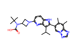 Cc1c(-c2[nH]c3ccc(N4CC(N(C(=O)O)C(C)(C)C)C4)nc3c2C(C)C)cn2ncnc2c1C